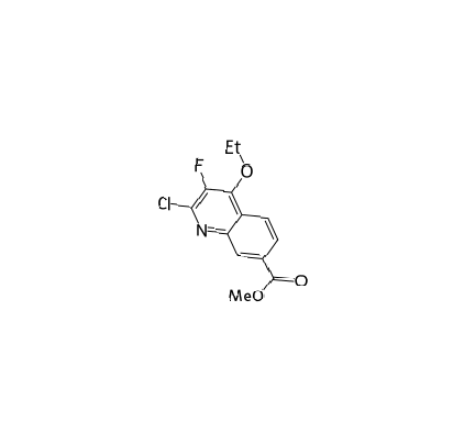 CCOc1c(F)c(Cl)nc2cc(C(=O)OC)ccc12